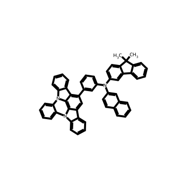 CC1(C)c2ccccc2-c2cc(N(c3cccc(-c4cc5c6ccccc6n6c7ccccc7n7c8ccccc8c4c7c56)c3)c3ccc4ccccc4c3)ccc21